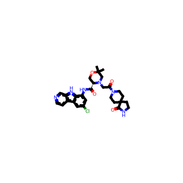 CC1(C)CN(CC(=O)N2CCC3(CCNC3=O)CC2)[C@H](C(=O)Nc2cc(Cl)cc3c2[nH]c2cnccc23)CO1